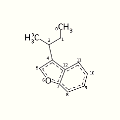 CCC(C)c1coc2ccccc12